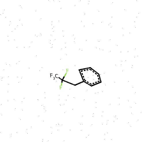 FC(F)(F)C(F)(F)Cc1cc[c]cc1